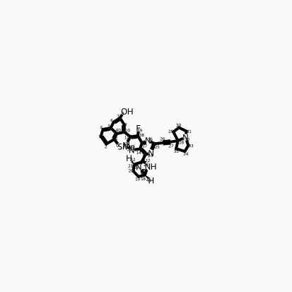 CSc1cccc2cc(O)cc(-c3nnc4c(N5C[C@H]6CC[C@@H]5CN6)nc(C#CC56CCCN5CCC6)nc4c3F)c12